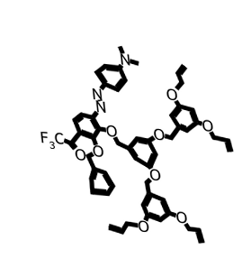 C=CCOc1cc(COc2cc(COc3c(N=Nc4ccc(N(C)C)cc4)ccc(C(=O)C(F)(F)F)c3OCc3ccccc3)cc(OCc3cc(OCC=C)cc(OCC=C)c3)c2)cc(OCC=C)c1